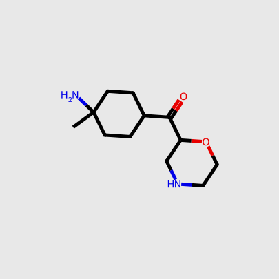 CC1(N)CCC(C(=O)C2CNCCO2)CC1